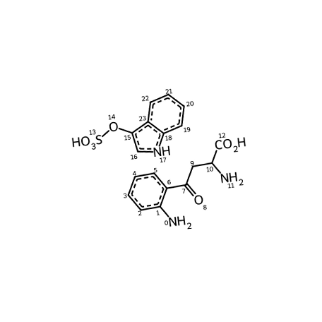 Nc1ccccc1C(=O)CC(N)C(=O)O.O=S(=O)(O)Oc1c[nH]c2ccccc12